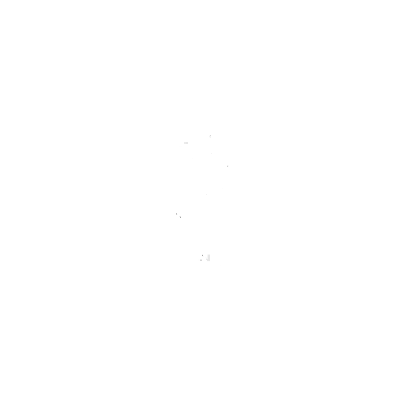 Nc1cc(-c2ccc(Cl)c(Cl)c2)no1